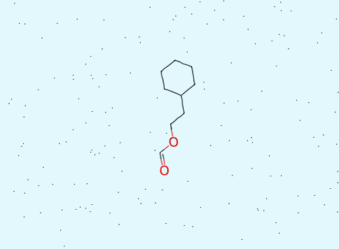 O=COCCC1CCCCC1